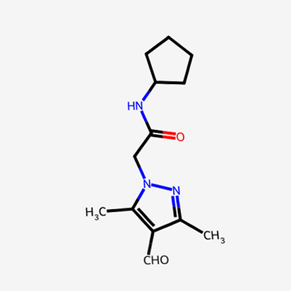 Cc1nn(CC(=O)NC2CCCC2)c(C)c1C=O